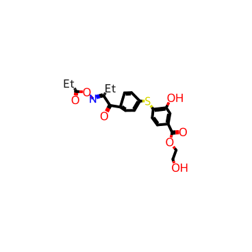 CCC(=O)O/N=C(\CC)C(=O)c1ccc(Sc2ccc(C(=O)OCCO)cc2O)cc1